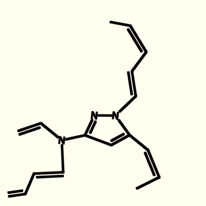 C=C/C=C/N(C=C)c1cc(/C=C\C)n(/C=C/C=C\C)n1